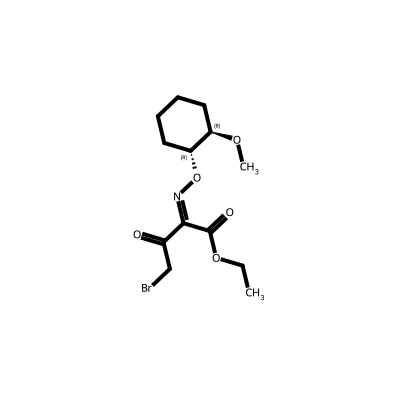 CCOC(=O)C(=NO[C@@H]1CCCC[C@H]1OC)C(=O)CBr